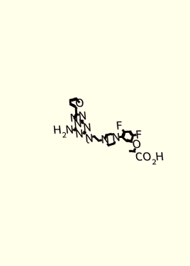 C[C@@H](Oc1cc(N2CCN(CCN(C)c3nc(N)n4nc(-c5ccco5)nc4n3)CC2)c(F)cc1F)C(=O)O